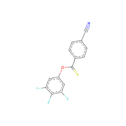 N#Cc1ccc(C(=S)Oc2cc(F)c(F)c(F)c2)cc1